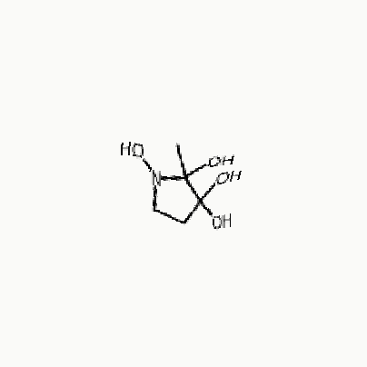 CC1(O)N(O)CCC1(O)O